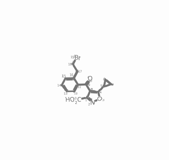 O=C(O)c1noc(C2CC2)c1C(=O)c1ccccc1CCBr